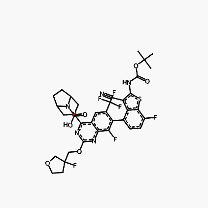 CC(C)(C)OC(=O)Nc1sc2c(F)ccc(-c3c(C(F)(F)F)cc4c(N5CC6CCC(C5)N6C(=O)O)nc(OCC5(F)CCOC5)nc4c3F)c2c1C#N